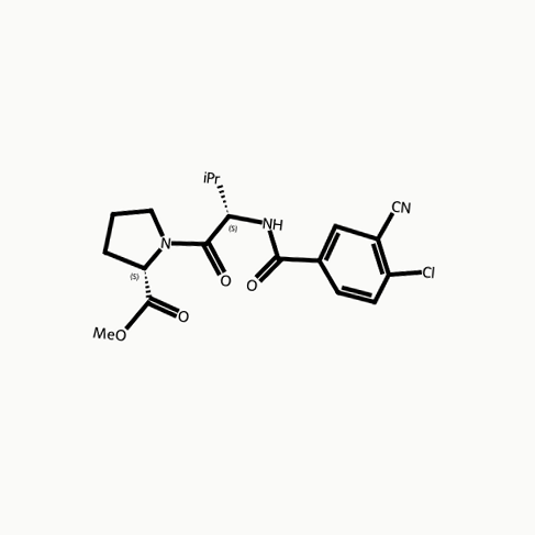 COC(=O)[C@@H]1CCCN1C(=O)[C@@H](NC(=O)c1ccc(Cl)c(C#N)c1)C(C)C